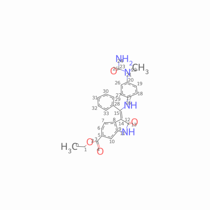 CCOC(=O)c1ccc2c(c1)NC(=O)/C2=C(\Nc1ccc(N(C)C(N)=O)cc1)c1ccccc1